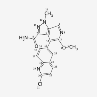 COc1ncc2c(c(C(N)=O)nn2C)c1-c1ccc2nc(Cl)ccc2c1